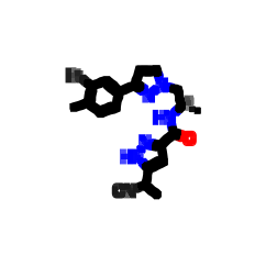 CCc1cc(-c2ccn(C[C@H](C)NC(=O)c3cc(C(C)N=O)[nH]n3)n2)ccc1C